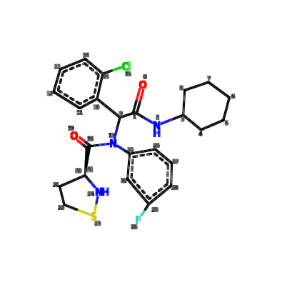 O=C(NC1CCCCC1)C(c1ccccc1Cl)N(C(=O)[C@@H]1CCSN1)c1cccc(F)c1